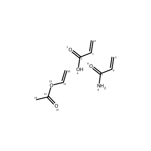 C=CC(=O)O.C=CC(N)=O.C=COC(C)=O